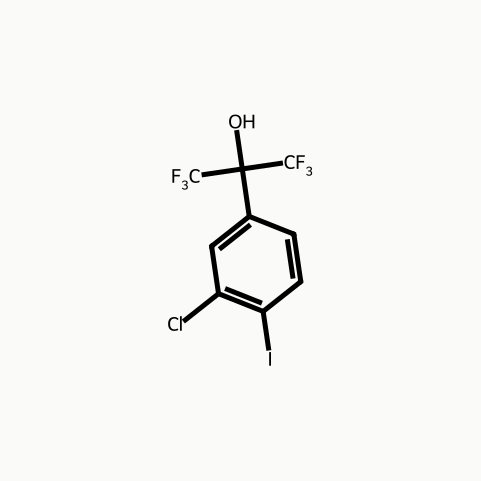 OC(c1ccc(I)c(Cl)c1)(C(F)(F)F)C(F)(F)F